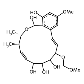 COCOC1/C=C/c2cc(OC)cc(O)c2C(O)O[C@@H](C)[C@H](C)/C=C\C(O)C(O)C1O